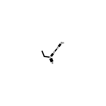 B#S(=BB=B)CC